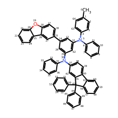 Cc1ccc(N(c2ccccc2)c2cc(-c3ccc4oc5ccccc5c4c3)cc(N(c3ccccc3)c3ccc4c(c3)C(c3ccccc3)(c3ccccc3)c3ccccc3-4)c2)cc1